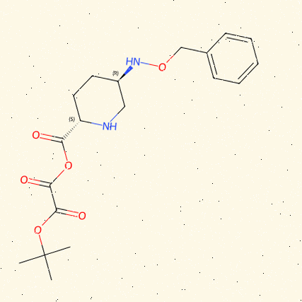 CC(C)(C)OC(=O)C(=O)OC(=O)[C@@H]1CC[C@@H](NOCc2ccccc2)CN1